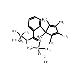 CC1=C(C)C(C)(c2ccccc2C(=N[Si](C)(C)C)N[Si](C)(C)C)C(C)=C1C.[Cl-].[Cl-].[Zr+2]